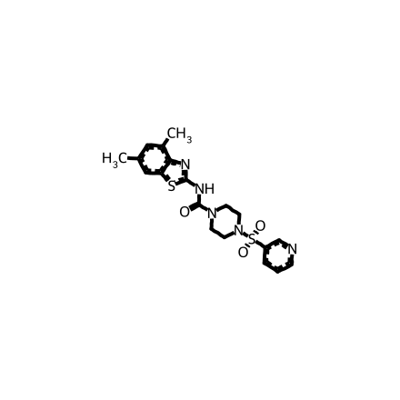 Cc1cc(C)c2nc(NC(=O)N3CCN(S(=O)(=O)c4cccnc4)CC3)sc2c1